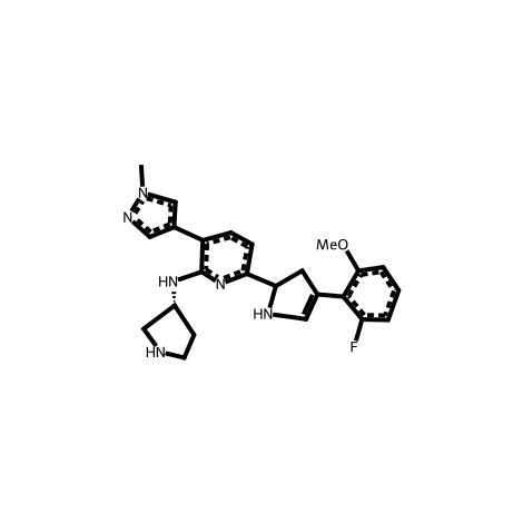 COc1cccc(F)c1C1=CNC(c2ccc(-c3cnn(C)c3)c(N[C@@H]3CCNC3)n2)C1